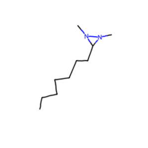 CCCCCCCC1N(C)N1C